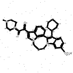 CN1CCN(C(=O)C(=O)c2cn3c4c(cccc24)-c2c(C4CCCCC4)c4ccc(C(=O)O)cc4n2CCC3)CC1